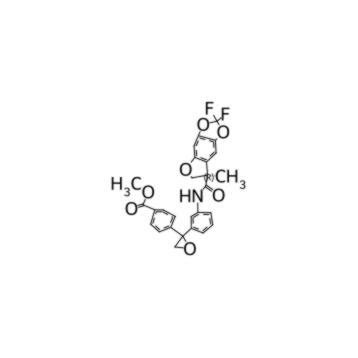 COC(=O)c1ccc(C2(c3cccc(NC(=O)[C@@]4(C)COc5cc6c(cc54)OC(F)(F)O6)c3)CO2)cc1